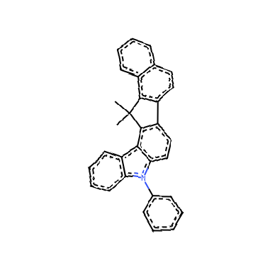 CC1(C)c2c(ccc3ccccc23)-c2ccc3c(c21)c1ccccc1n3-c1ccccc1